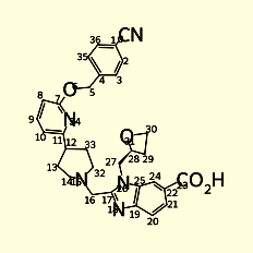 N#Cc1ccc(COc2cccc(C3CCN(Cc4nc5ccc(C(=O)O)cc5n4C[C@@H]4CCO4)CC3)n2)cc1